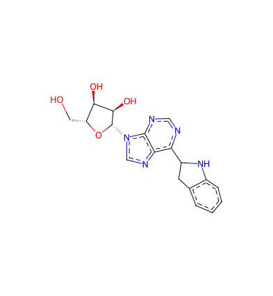 OC[C@H]1O[C@@H](n2cnc3c(C4Cc5ccccc5N4)ncnc32)[C@H](O)[C@@H]1O